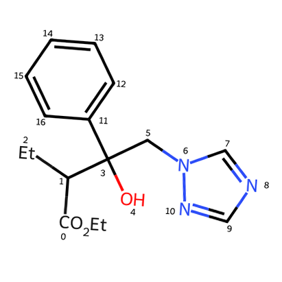 CCOC(=O)C(CC)C(O)(Cn1cncn1)c1ccccc1